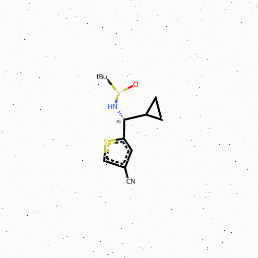 CC(C)(C)[S+]([O-])N[C@@H](c1cc(C#N)cs1)C1CC1